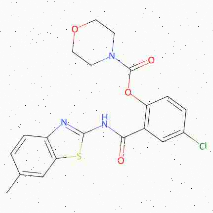 Cc1ccc2nc(NC(=O)c3cc(Cl)ccc3OC(=O)N3CCOCC3)sc2c1